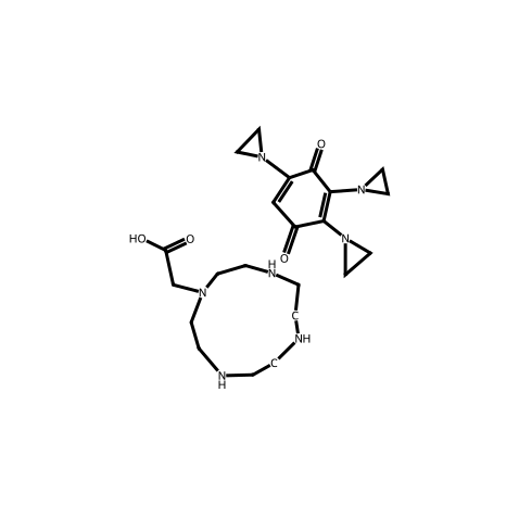 O=C(O)CN1CCNCCNCCNCC1.O=C1C=C(N2CC2)C(=O)C(N2CC2)=C1N1CC1